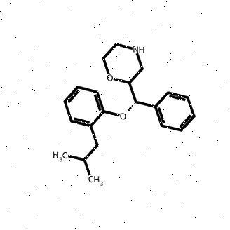 CC(C)Cc1ccccc1O[C@@H](c1ccccc1)C1CNCCO1